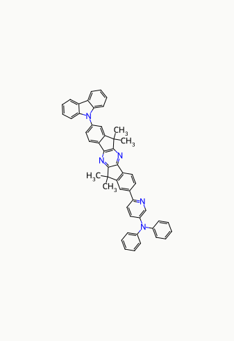 CC1(C)c2cc(-c3ccc(N(c4ccccc4)c4ccccc4)cn3)ccc2-c2nc3c(nc21)-c1ccc(-n2c4ccccc4c4ccccc42)cc1C3(C)C